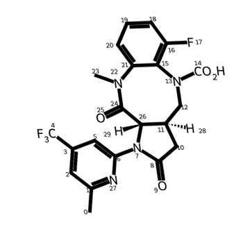 Cc1cc(C(F)(F)F)cc(N2C(=O)C[C@@H]3CN(C(=O)O)c4c(F)cccc4N(C)C(=O)[C@H]32)n1